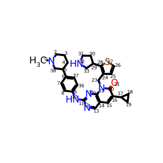 CN1CCCC(c2ccc(Nc3ncc4cc(C5CC5)c(=O)n(Cc5ccsc5C5CCNC5)c4n3)cc2)C1